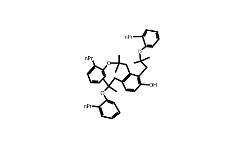 CCCc1ccccc1OC(C)(C)Cc1ccc(O)c(CC(C)(C)Oc2ccccc2CCC)c1CC(C)(C)Oc1ccccc1CCC